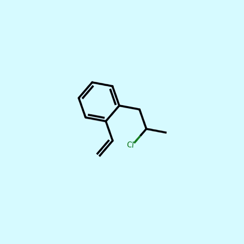 C=Cc1ccccc1CC(C)Cl